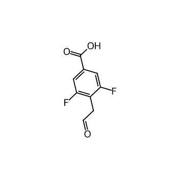 O=CCc1c(F)cc(C(=O)O)cc1F